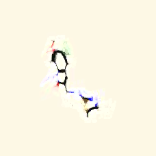 Cc1nc(N[C@@H](C)c2cc3cc(Cl)c(OC(C)C)cc3[nH]c2=O)sc1C#N